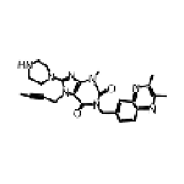 CC#CCn1c(N2CCNCC2)nc2c1c(=O)n(Cc1ccc3nc(C)c(C)nc3c1)c(=O)n2C